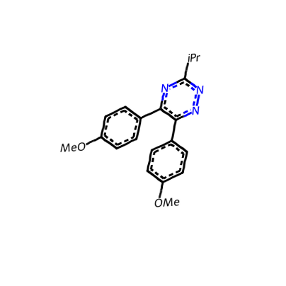 COc1ccc(-c2nnc(C(C)C)nc2-c2ccc(OC)cc2)cc1